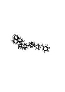 c1ccc(CN2CCC(n3cc(-c4cnc5ncc(C6(c7cccc8cccnc78)CC6)n5c4)cn3)C2)cc1